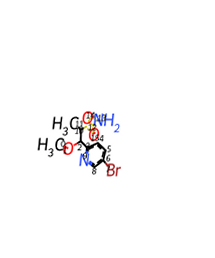 COC(c1ccc(Br)cn1)C(C)S(N)(=O)=O